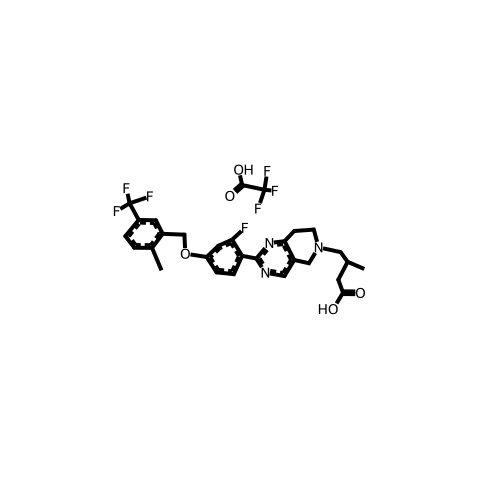 Cc1ccc(C(F)(F)F)cc1COc1ccc(-c2ncc3c(n2)CCN(CC(C)CC(=O)O)C3)c(F)c1.O=C(O)C(F)(F)F